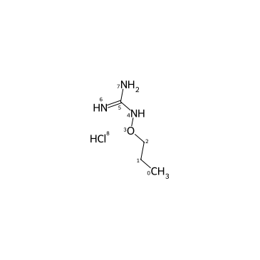 CCCONC(=N)N.Cl